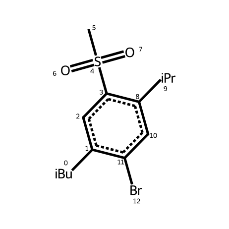 CCC(C)c1cc(S(C)(=O)=O)c(C(C)C)cc1Br